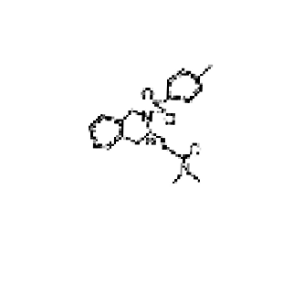 Cc1ccc(S(=O)(=O)N2Cc3ccccc3C[C@@H]2C=CC(=O)N(C)C)cc1